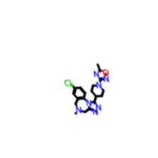 Cc1nc(N2CCC(c3nnc4n3-c3ccc(Cl)cc3CN(C)C4)CC2)no1